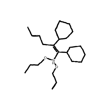 CCCCC(=C(C1CCCCC1)[SiH](OCCC)OCCC)C1CCCCC1